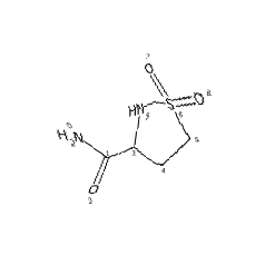 NC(=O)C1CCS(=O)(=O)N1